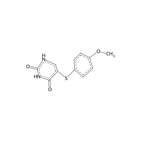 COc1ccc(Sc2c[nH]c(=O)[nH]c2=O)cc1